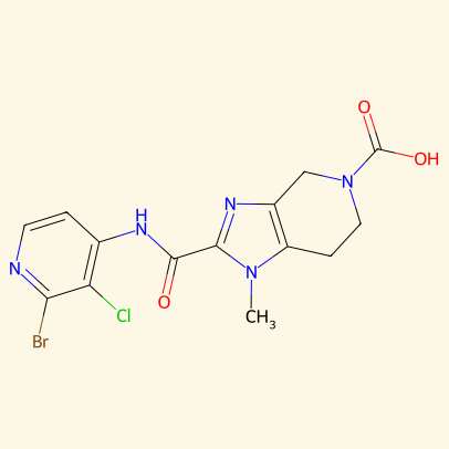 Cn1c(C(=O)Nc2ccnc(Br)c2Cl)nc2c1CCN(C(=O)O)C2